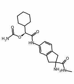 CNC(=O)C1(N)Cc2ccc(NC(=O)[C@@H](OC(N)=O)C3CCCCC3)cc2C1